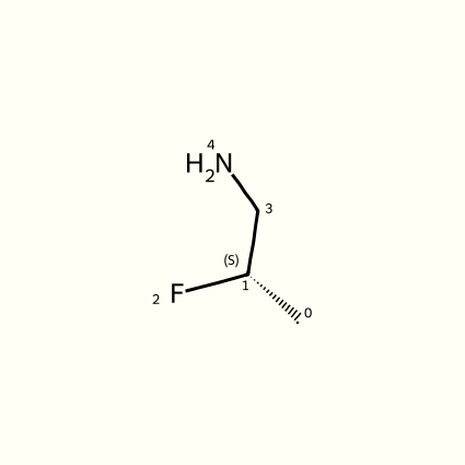 [CH2][C@H](F)CN